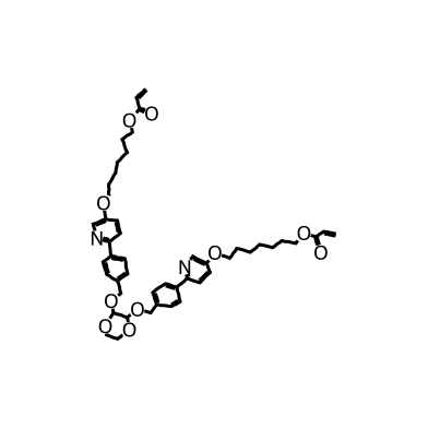 C=CC(=O)OCCCCCCCOc1ccc(-c2ccc(COC3OCCOC3OCc3ccc(-c4ccc(OCCCCCCCOC(=O)C=C)cn4)cc3)cc2)nc1